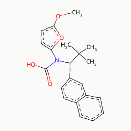 COc1ccc(N(C(=O)O)C(c2ccc3ccccc3c2)C(C)(C)C)o1